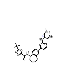 CN/C=C(\C=N)Nc1nccc(-c2ccc3c(c2)CCCCC3NC(=O)c2nnc(C(C)(C)C)o2)n1